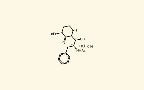 CCCN1CCNC([C@@H](O)[C@H](Cc2ccccc2)NC(C)=O)C1=O.Cl.Cl